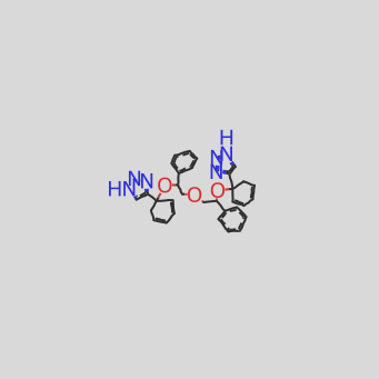 C1=CCC(OC(COCC(OC2(c3c[nH]nn3)C=CC=CC2)c2ccccc2)c2ccccc2)(c2c[nH]nn2)C=C1